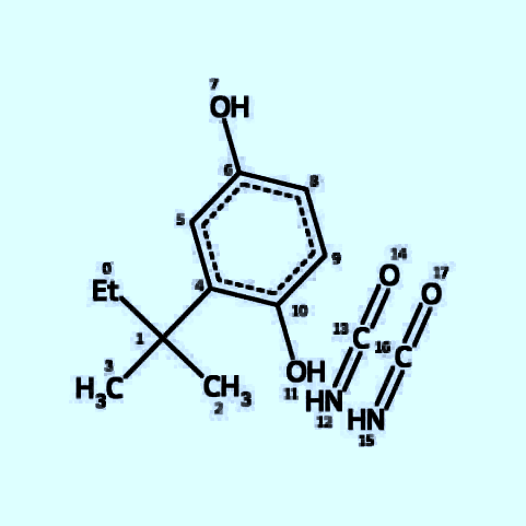 CCC(C)(C)c1cc(O)ccc1O.N=C=O.N=C=O